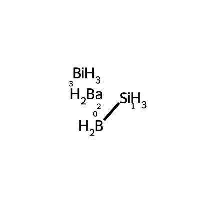 B[SiH3].[BaH2].[BiH3]